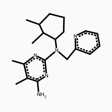 Cc1nc(N(Cc2ccccn2)C2CCCC(C)C2C)nc(N)c1C